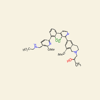 COc1cc(-c2nccc(-c3cccc(-c4ccc(CNCC(=O)O)c(OC)n4)c3Cl)c2Cl)cc2c1CN(CC(C)O)CC2